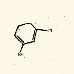 N#CC1=CC(N)=CCC1